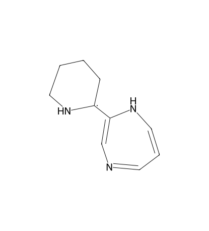 C1=CNC([C]2CCCCN2)=CN=C1